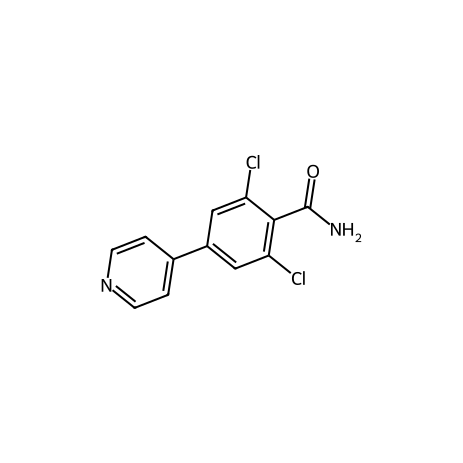 NC(=O)c1c(Cl)cc(-c2ccncc2)cc1Cl